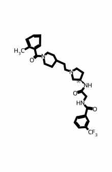 Cc1ccccc1C(=O)N1CCC(CCN2CC[C@@H](NC(=O)CNC(=O)c3cccc(C(F)(F)F)c3)C2)CC1